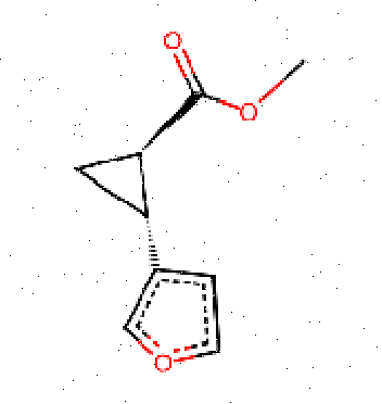 COC(=O)[C@@H]1C[C@H]1c1ccoc1